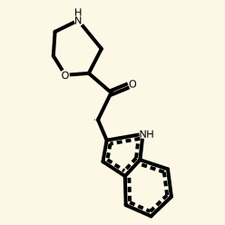 O=C([CH]c1cc2ccccc2[nH]1)C1CNCCO1